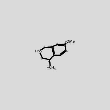 COc1ccc2c(c1)CNCC2C